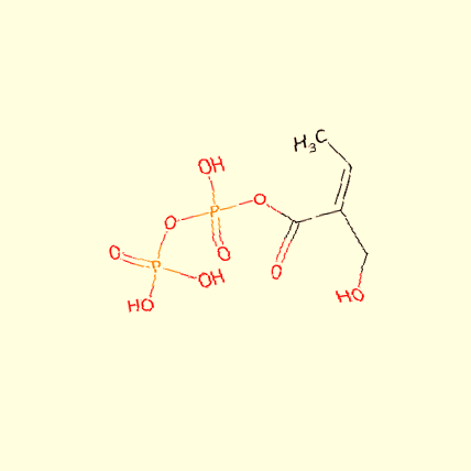 CC=C(CO)C(=O)OP(=O)(O)OP(=O)(O)O